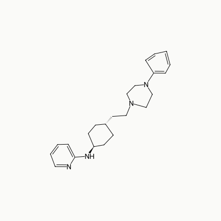 c1ccc(N2CCN(CC[C@H]3CC[C@H](Nc4ccccn4)CC3)CC2)cc1